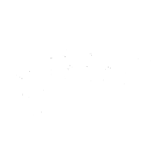 CCC(C)N1CCC(n2cc(-c3cncc(C)c3)cn2)CC1